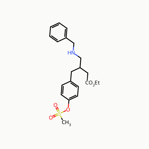 CCOC(=O)CC(CNCc1ccccc1)Cc1ccc(OS(C)(=O)=O)cc1